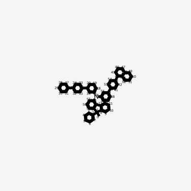 CC1(c2ccccc2)c2ccccc2-c2c(N(c3cccc(-c4ccc(-c5ccccc5)cc4)c3)c3cccc(-c4ccc(-c5cccc6ccccc56)cc4)c3)cccc21